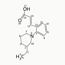 CCC1CCCN(c2ccccc2/C=C/C(=O)O)C1